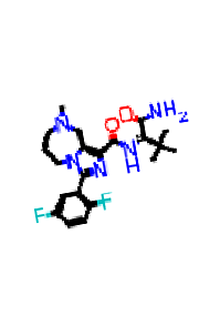 CN1CCCn2c(-c3cc(F)ccc3F)nc(C(=O)N[C@H](C(N)=O)C(C)(C)C)c2C1